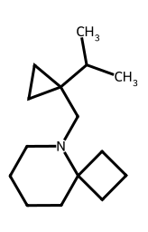 CC(C)C1(CN2CCCCC23CCC3)CC1